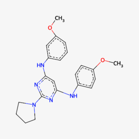 COc1ccc(Nc2cc(Nc3cccc(OC)c3)nc(N3CCCC3)n2)cc1